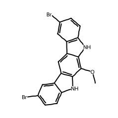 COc1c2[nH]c3ccc(Br)cc3c2cc2c1[nH]c1ccc(Br)cc12